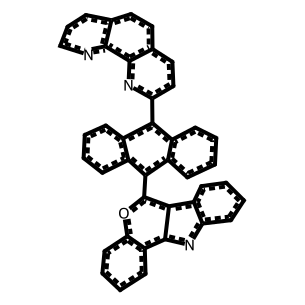 c1cnc2c(c1)ccc1ccc(-c3c4ccccc4c(-c4oc5ccccc5c5nc6ccccc6c4-5)c4ccccc34)nc12